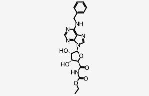 CCOC(=O)NC(=O)[C@@H]1O[C@H](n2cnc3c(NCc4ccccc4)ncnc32)[C@@H](O)[C@H]1O